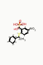 CC(Sc1ccc([N+](=O)[O-])cc1C(O)P(=O)(O)O)c1ccccc1